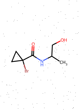 CC(CO)NC(=O)C1(Br)CC1